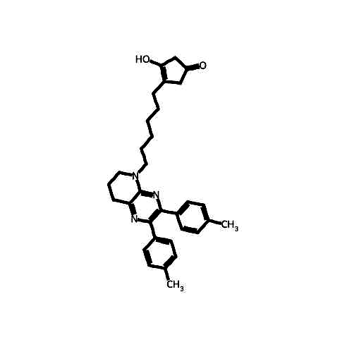 Cc1ccc(-c2nc3c(nc2-c2ccc(C)cc2)N(CCCCCCC2=C(O)CC(=O)C2)CCC3)cc1